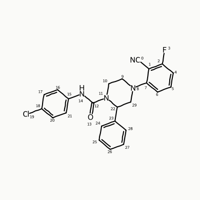 N#Cc1c(F)cccc1N1CCN(C(=O)Nc2ccc(Cl)cc2)C(c2ccccc2)C1